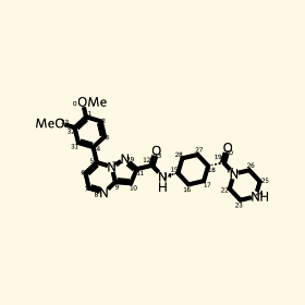 COc1ccc(-c2ccnc3cc(C(=O)N[C@H]4CC[C@@H](C(=O)N5CCNCC5)CC4)nn23)cc1OC